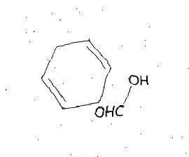 C1=CCC=CC1.O=CO